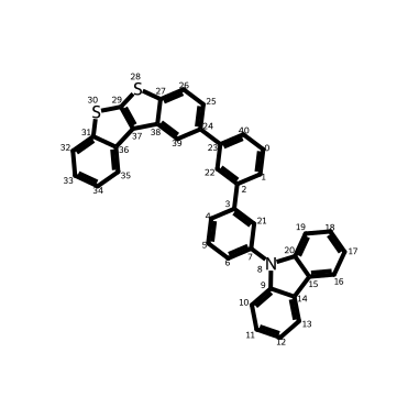 c1cc(-c2cccc(-n3c4ccccc4c4ccccc43)c2)cc(-c2ccc3sc4sc5ccccc5c4c3c2)c1